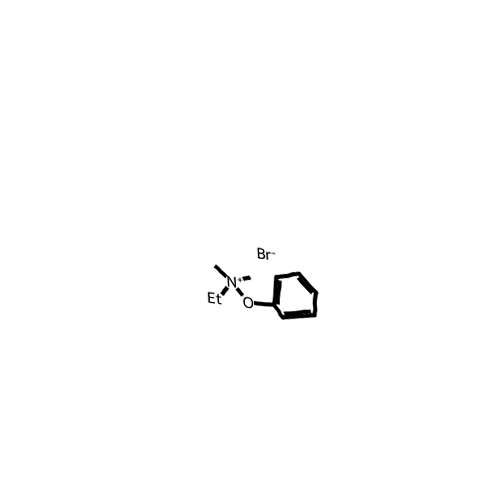 CC[N+](C)(C)Oc1ccccc1.[Br-]